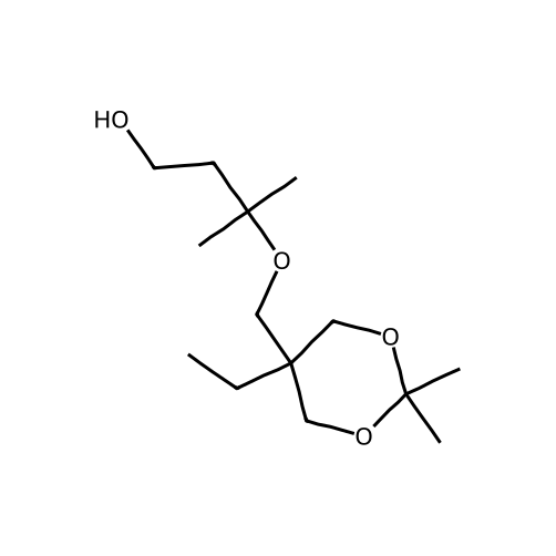 CCC1(COC(C)(C)CCO)COC(C)(C)OC1